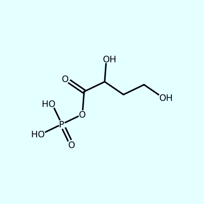 O=C(OP(=O)(O)O)C(O)CCO